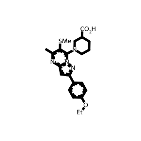 CCOc1ccc(-c2cc3nc(C)c(SC)c(N4CCCC(C(=O)O)C4)n3n2)cc1